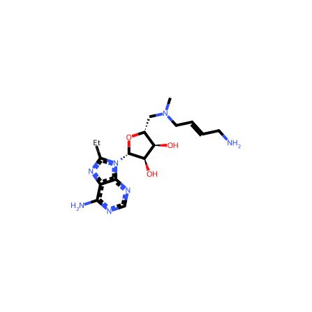 CCc1nc2c(N)ncnc2n1[C@@H]1O[C@H](CN(C)C/C=C/CN)[C@@H](O)[C@H]1O